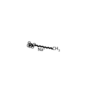 CCCCCCCCCCCCCCOC(=O)CS(=O)(=O)[O-].[Na+]